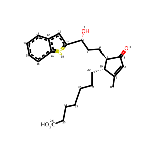 CC1=CC(=O)[C@H](CC[C@@H](O)c2cc3ccccc3s2)[C@H]1CCCCCCC(=O)O